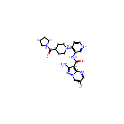 Nc1nn2cc(F)cnc2c1C(=O)Nc1cnccc1N1CCC(C(=O)N2CCCC2)CC1